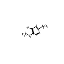 O=[N+]([O-])c1ccc(OC(F)(F)F)c(F)c1